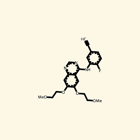 C#Cc1ccc(F)c(Nc2ncnc3cc(OCCOC)c(OCCOC)cc23)c1